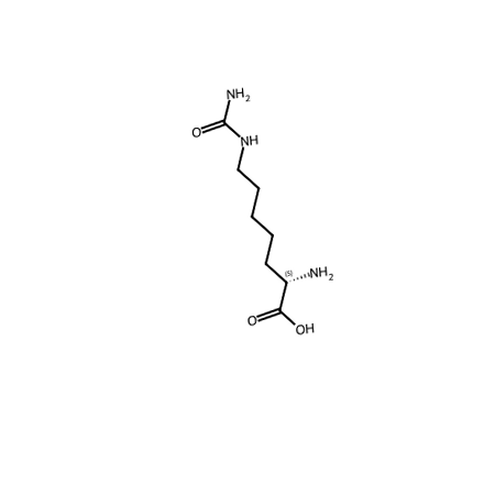 NC(=O)NCCCCC[C@H](N)C(=O)O